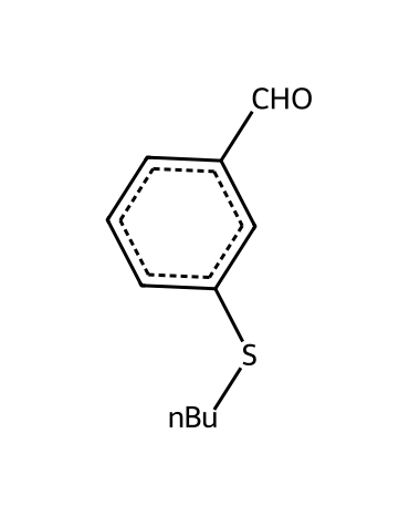 CCCCSc1cccc(C=O)c1